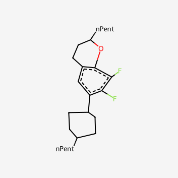 CCCCCC1CCC(c2cc3c(c(F)c2F)OC(CCCCC)CC3)CC1